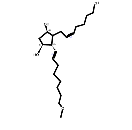 COCCCCCC/C=C/[C@H]1C(C/C=C\CCCCO)[C@H](O)C[C@@H]1O